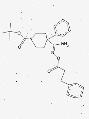 CC(C)(C)OC(=O)N1CCC(/C(N)=N/OC(=O)CCc2ccccc2)(c2ccccc2)CC1